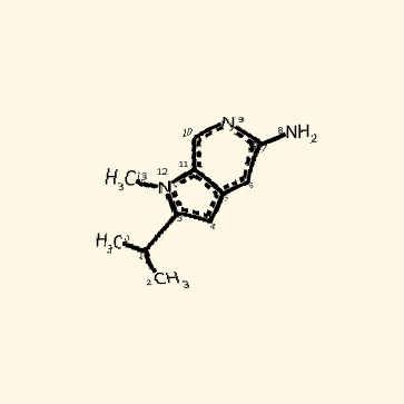 CC(C)c1cc2cc(N)ncc2n1C